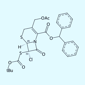 CC(=O)OCC1=C(C(=O)OC(c2ccccc2)c2ccccc2)N2C(=O)[C@@](Cl)(SC(=O)OC(C)(C)C)[C@H]2SC1